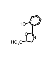 O=C(O)C1CN=C(c2ccccc2O)O1